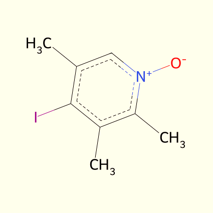 Cc1c[n+]([O-])c(C)c(C)c1I